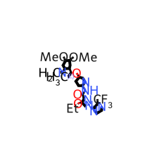 C=Nc1cc(OC)c(OC)cc1/C(=C\C)Oc1ccc(NC(=O)c2nn(-c3nccnc3C(F)(F)F)cc2OCC)nc1